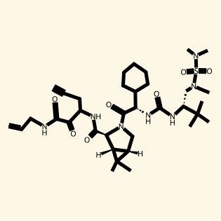 C#CCC(NC(=O)[C@@H]1[C@@H]2[C@H](CN1C(=O)[C@@H](NC(=O)N[C@H](CN(C)S(=O)(=O)N(C)C)C(C)(C)C)C1CCCCC1)C2(C)C)C(=O)C(=O)NCC=C